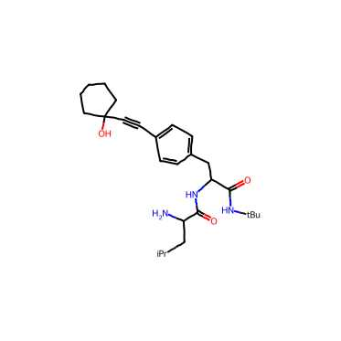 CC(C)CC(N)C(=O)NC(Cc1ccc(C#CC2(O)CCCCC2)cc1)C(=O)NC(C)(C)C